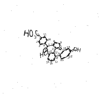 O=C(O)c1ccc(C(=O)c2ccsc2-c2c(O)cccc2-c2ccc(O)cc2)cc1